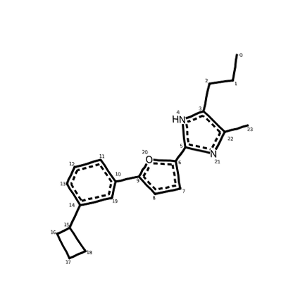 CCCc1[nH]c(-c2ccc(-c3cccc(C4CCC4)c3)o2)nc1C